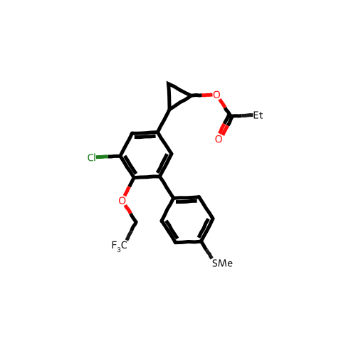 CCC(=O)OC1CC1c1cc(Cl)c(OCC(F)(F)F)c(-c2ccc(SC)cc2)c1